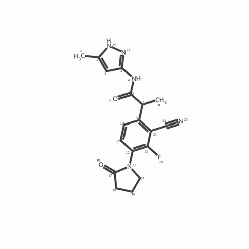 Cc1cc(NC(=O)C(C)c2ccc(N3CCCC3=O)c(F)c2C#N)n[nH]1